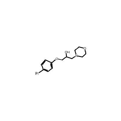 CC(C)c1ccc(OCC(O)CN2CCOCC2)cc1